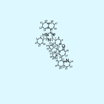 c1ccc(C2=NC(c3ccc4c(c3)C3(c5cc(-c6cccc7cccnc67)ccc5O4)c4ccccc4-c4ccccc43)=NC(c3cccc4ccccc34)N2)cc1